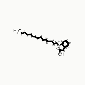 CCCCCCCCCCC=CCCCNc1ccccc1CC(=O)O